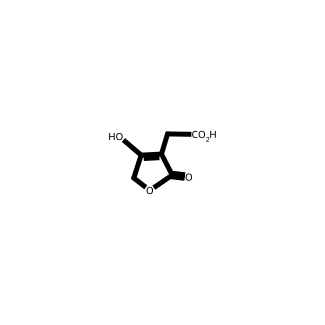 O=C(O)CC1=C(O)COC1=O